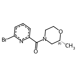 C[C@@H]1CN(C(=O)c2cccc(Br)n2)CCO1